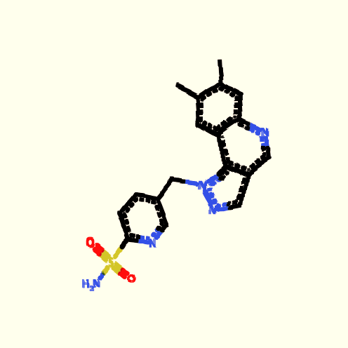 Cc1cc2ncc3cnn(Cc4ccc(S(N)(=O)=O)nc4)c3c2cc1C